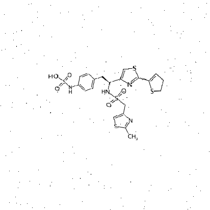 Cc1nc(CS(=O)(=O)N[C@@H](Cc2ccc(NS(=O)(=O)O)cc2)c2csc(C3=CCCS3)n2)cs1